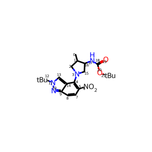 CC1CN(c2c([N+](=O)[O-])ccc3nn(C(C)(C)C)cc23)CC1NC(=O)OC(C)(C)C